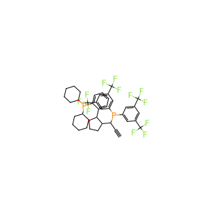 C#CC(C1CCCC1c1ccccc1P(C1CCCCC1)C1CCCCC1)P(c1cc(C(F)(F)F)cc(C(F)(F)F)c1)c1cc(C(F)(F)F)cc(C(F)(F)F)c1